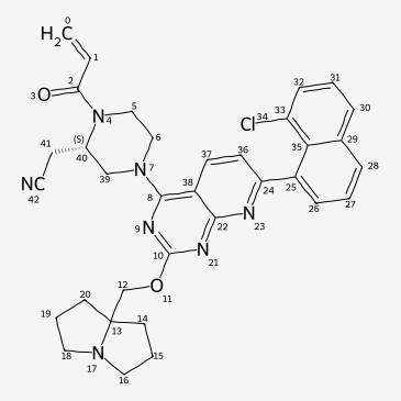 C=CC(=O)N1CCN(c2nc(OCC34CCCN3CCC4)nc3nc(-c4cccc5cccc(Cl)c45)ccc23)C[C@@H]1CC#N